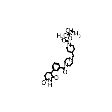 CC(C)(C)OC(=O)N1CCC(CN2CCN(C(=O)c3cccc(C4CCC(=O)NC4=O)c3)CC2)CC1